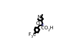 Cc1cc(/C=C(/C(=O)O)C(=O)c2ccc(C(F)(F)F)cc2)ccn1